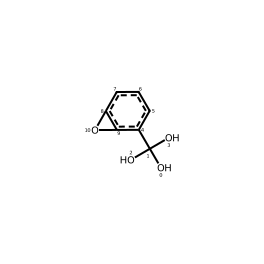 OC(O)(O)c1cccc2c1O2